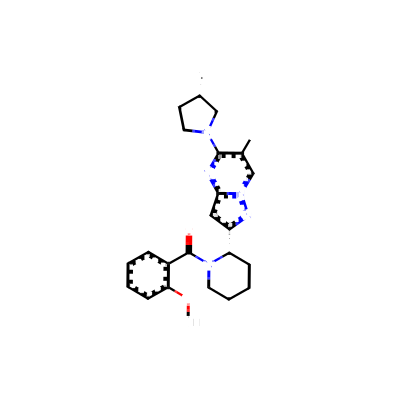 COc1ccccc1C(=O)N1CCCC[C@H]1c1cc2nc(N3CC[C@H](C)C3)c(C)cn2n1